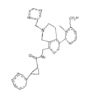 Cc1c(C(=O)O)cccc1-c1ccc(CNC(=O)C2CC2c2ccccc2)c2c1CCN(Cc1ccccn1)C2